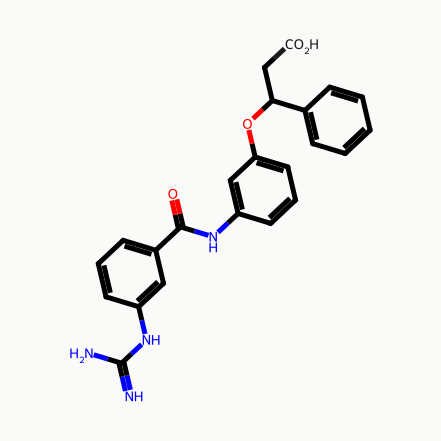 N=C(N)Nc1cccc(C(=O)Nc2cccc(OC(CC(=O)O)c3ccccc3)c2)c1